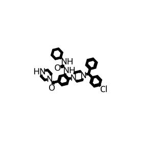 O=C(Nc1cc(C(=O)N2CCNCC2)ccc1N1CCN(C(c2ccccc2)c2ccc(Cl)cc2)CC1)NC1CCCCC1